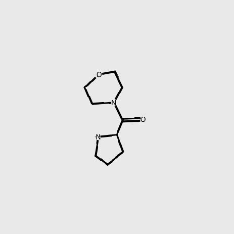 O=C(C1CCC[N]1)N1CCOCC1